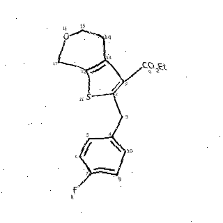 CCOC(=O)c1c(Cc2ccc(F)cc2)sc2c1CCOC2